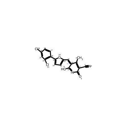 CC1=C(C#N)C(=O)N=C(O)/C1=C\c1ccc(-c2ccc(Cl)cc2Cl)o1